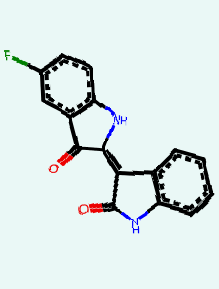 O=C1Nc2ccccc2C1=C1Nc2ccc(F)cc2C1=O